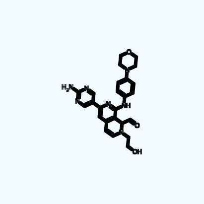 Nc1ncc(-c2cc3c(c(Nc4ccc(N5CCOCC5)cc4)n2)C(C=O)N(CCO)C=C3)cn1